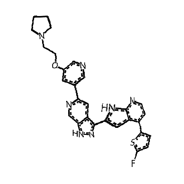 Fc1ccc(-c2ccnc3[nH]c(-c4n[nH]c5cnc(-c6cncc(OCCN7CCCC7)c6)cc45)cc23)s1